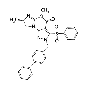 C[C@@H]1CN2C(=N1)N(C)C(=O)c1c2nn(Cc2ccc(-c3ccccc3)cc2)c1S(=O)(=O)c1ccccc1